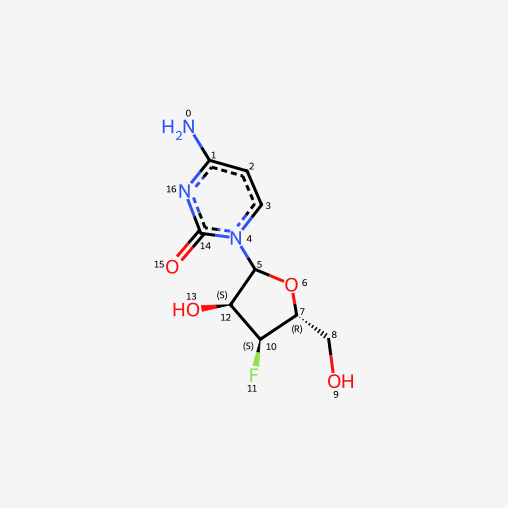 Nc1ccn(C2O[C@H](CO)[C@@H](F)[C@H]2O)c(=O)n1